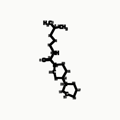 CC(C)CCCNC(=O)N1CCC(N2CCCCC2)CC1